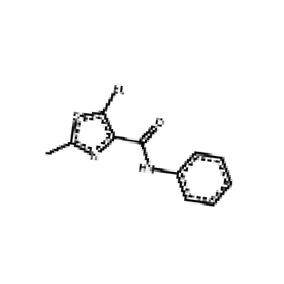 CCc1sc(C)nc1C(=O)Nc1ccccc1